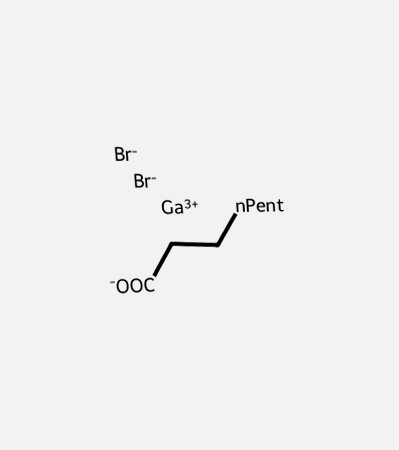 CCCCCCCC(=O)[O-].[Br-].[Br-].[Ga+3]